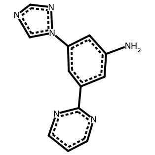 Nc1cc(-c2ncccn2)cc(-n2cncn2)c1